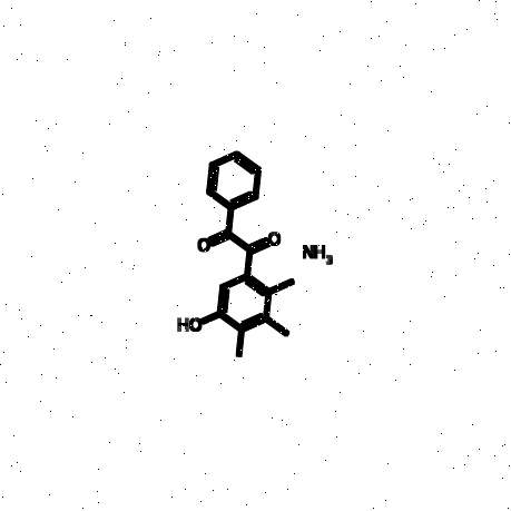 Cc1c(O)cc(C(=O)C(=O)c2ccccc2)c(C)c1C.N